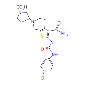 NC(=O)c1c(NC(=O)Nc2ccc(Cl)cc2)sc2c1CCN(C1CCN(C(=O)O)C1)C2